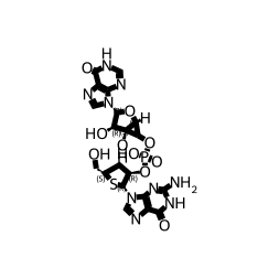 Nc1nc2c(ncn2[C@@H]2S[C@H](CO)C[C@H]2OP(=O)(O)OC2[C@H]3O[C@@H](n4cnc5c(=O)[nH]cnc54)[C@H](O)[C@@]23O)c(=O)[nH]1